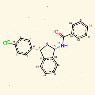 O=C(N[C@H]1C[C@@H](c2ccc(Cl)cc2)c2ccccc21)c1ccccc1